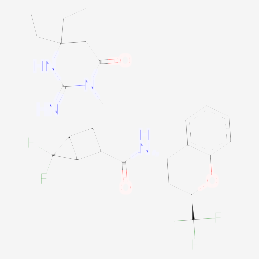 CCC1(CC)CC(=O)N(C[C@@H]2C(C(=O)N[C@H]3C[C@H](C(F)(F)F)Oc4ccccc43)C3C2C3(F)F)C(=N)N1